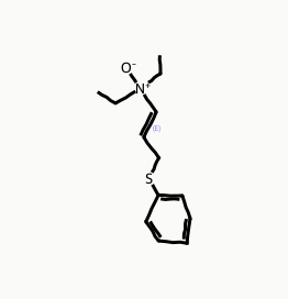 CC[N+]([O-])(/C=C/CSc1ccccc1)CC